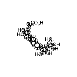 C=C1C[C@@]2(C)CC[C@H]3[C@@](C)(CCC[C@@]3(C)C(=O)O[C@@H]3O[C@H](COC(=O)CC(=O)O)[C@@H](O)[C@H](O)[C@H]3O)[C@@H]2CCC1(C)O[C@@H]1O[C@H](CO)[C@@H](O)[C@H](O)[C@H]1O[C@H]1C[C@@H](O)[C@H](O)[C@@H](CO)O1